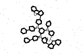 CC1c2ccccc2-c2cccc(-c3ccc(N(c4ccc(-c5ccccc5)cc4)c4cc(N(c5ccccc5)c5ccccc5)cc(N(c5ccc(-c6ccccc6)cc5)c5ccc(-c6cccc7c6oc6ccccc67)cc5)c4)cc3)c21